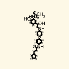 CS(=O)(=O)Nc1cc([C@@H](O)CNC2CCN(c3ccc(NC(=O)CCC4CCCC4)cc3)CC2)ccc1O